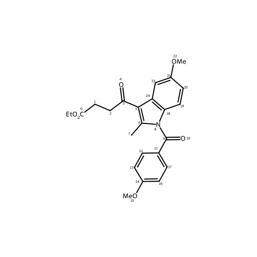 CCOC(=O)CCC(=O)c1c(C)n(C(=O)c2ccc(OC)cc2)c2ccc(OC)cc12